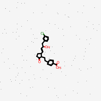 O=C(O)c1ccc(CCC2C(=O)CCC2C=CC(O)Cc2cccc(Cl)c2)cc1